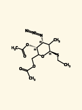 CCS[C@H]1OC(COC(C)=O)[C@H](OC(C)=O)[C@H](N=[N+]=[N-])C1C